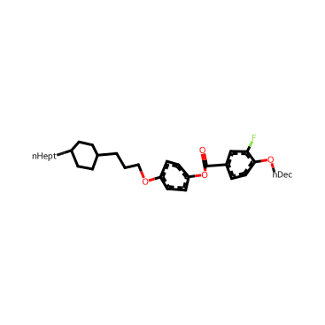 CCCCCCCCCCOc1ccc(C(=O)Oc2ccc(OCCCC3CCC(CCCCCCC)CC3)cc2)cc1F